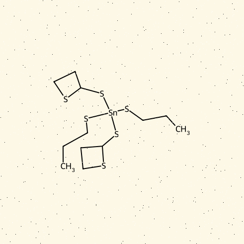 CCC[S][Sn]([S]CCC)([S]C1CCS1)[S]C1CCS1